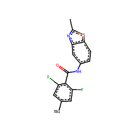 Cc1nc2cc(NC(=O)c3c(F)cc(C(C)(C)C)cc3F)ccc2s1